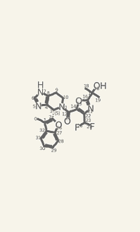 Cc1c([C@@H]2c3nc[nH]c3CCN2C(=O)c2oc(C(C)(C)O)nc2C(F)F)oc2ccccc12